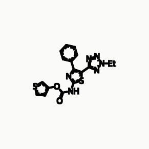 CCn1nnc(-c2sc(NC(=O)Oc3ccsc3)nc2-c2ccccc2)n1